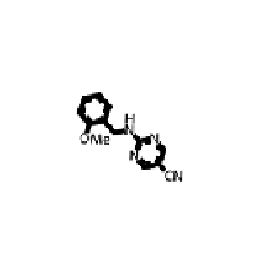 COc1ccccc1CNc1ncc(C#N)cn1